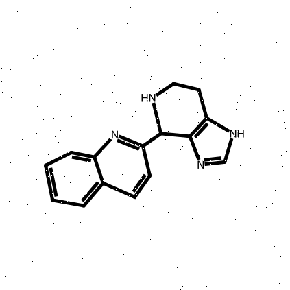 c1ccc2nc(C3NCCc4[nH]cnc43)ccc2c1